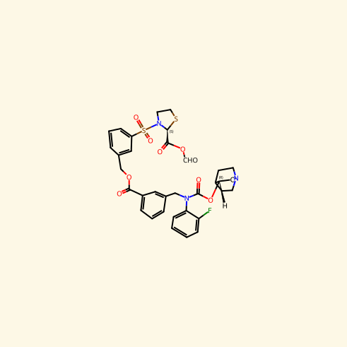 O=COC(=O)[C@@H]1SCCN1S(=O)(=O)c1cccc(COC(=O)c2cccc(CN(C(=O)O[C@H]3CN4CCC3CC4)c3ccccc3F)c2)c1